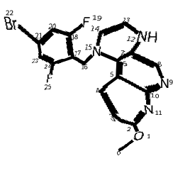 COc1ccc2c3c(cnc2n1)NC=CN3Cc1c(F)cc(Br)cc1F